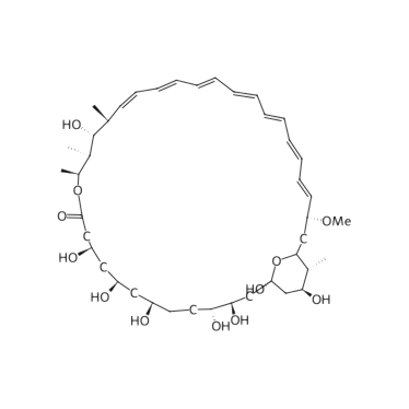 CO[C@H]1/C=C/C=C/C=C/C=C/C=C/C=C/C=C/[C@H](C)[C@@H](O)[C@@H](C)[C@H](C)OC(=O)C[C@H](O)C[C@H](O)C[C@H](O)CC[C@@H](O)[C@H](O)C[C@]2(O)C[C@H](O)[C@@H](C)C(C1)O2